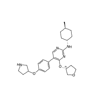 C[C@H]1CC[C@H](Nc2ncc(-c3ccc(OC4CCNC4)cc3)c(O[C@@H]3CCOC3)n2)CC1